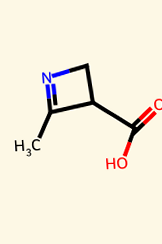 CC1=NCC1C(=O)O